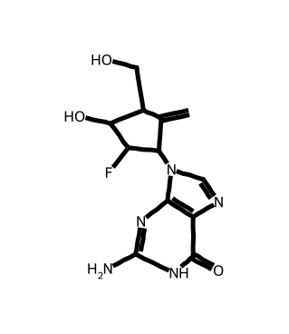 C=C1C(CO)C(O)C(F)C1n1cnc2c(=O)[nH]c(N)nc21